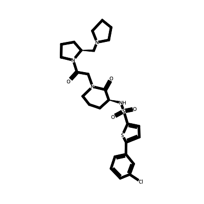 O=C1[C@@H](NS(=O)(=O)c2ccc(-c3cccc(Cl)c3)s2)CCCN1CC(=O)N1CCC[C@H]1CN1CCCC1